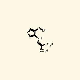 CCOc1cscc1NC=C(C(=O)O)C(=O)O